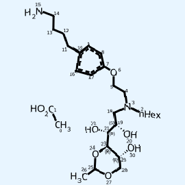 CC(=O)O.CCCCCCN(CCOc1ccc(CCCCN)cc1)C[C@H](O)[C@@H](O)[C@@H]1OC(C)OC[C@H]1O